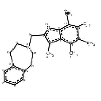 Cc1c(C)c(C)c2c(C)c(CN3CCc4ccccc4CC3)oc2c1N